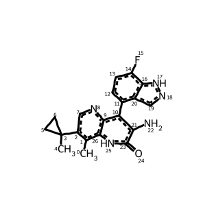 Cc1c(C2(C)CC2)cnc2c(-c3ccc(F)c4[nH]ncc34)c(N)c(=O)[nH]c12